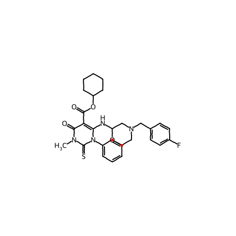 Cn1c(=O)c(C(=O)OC2CCCCC2)c(NC2CN(Cc3ccc(F)cc3)CCO2)n(-c2ccccc2)c1=S